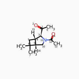 CC(=O)[C@@H]1[C@H]2CC(C)(C)[C@H]2CN1C(C)=O